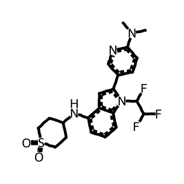 CN(C)c1ccc(-c2cc3c(NC4CCS(=O)(=O)CC4)cccc3n2C(F)C(F)F)cn1